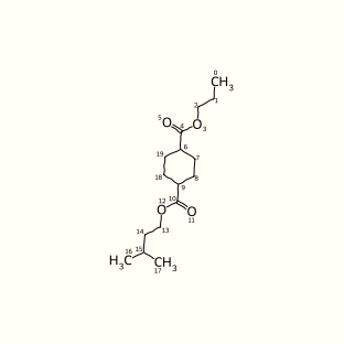 CCCOC(=O)C1CCC(C(=O)OCCC(C)C)CC1